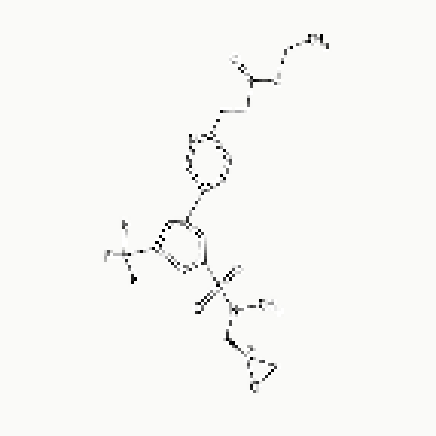 CCOC(=O)CCc1ccc(-c2cc(C(F)(F)F)cc(S(=O)(=O)N(C)C[C@H]3CO3)c2)cn1